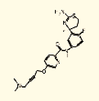 CN(C)CC#CCOc1ccc(C(=O)Nc2ccc(F)c([C@]3(C)CCSC(N)=N3)c2)nc1